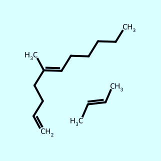 C=CCCC(C)=CCCCCC.CC=CC